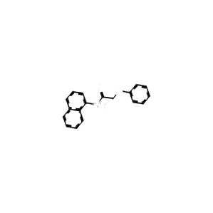 S=C(CSc1ccccc1)Nc1cccc2ccccc12